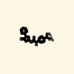 CN(C)c1ccc(NC(=O)OC2CC(=O)N(c3ccccc3)C2)cc1